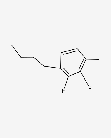 CCCCc1ccc(C)c(F)c1F